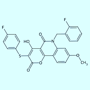 COc1ccc2c3oc(=O)c(Sc4ccc(F)cc4)c(O)c3c(=O)n(Cc3ccccc3F)c2c1